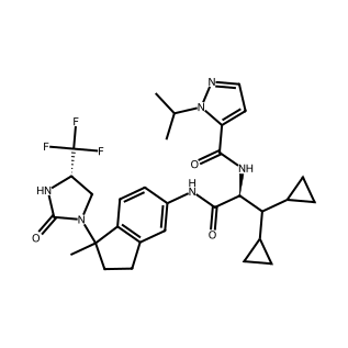 CC(C)n1nccc1C(=O)N[C@H](C(=O)Nc1ccc2c(c1)CCC2(C)N1C[C@@H](C(F)(F)F)NC1=O)C(C1CC1)C1CC1